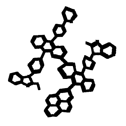 CCc1nc2ccccc2n1-c1ccc(-c2c3ccccc3c(-c3ccc(-c4ccccn4)cc3)c3ccc(-c4ccc5c(-c6cc7ccc8cccc9ccc(c6)c7c89)c6ccccc6c(-c6ccc(-n7c(C)nc8ccccc87)cc6)c5c4)cc23)cc1